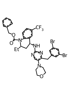 CC[C@@H]1C[C@H](Nc2ncc(N3CCOCC3)c(Cc3cc(Br)cc(Br)c3)n2)c2cc(C(F)(F)F)ccc2N1C(=O)OCc1ccccc1